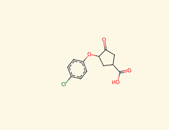 O=C(O)C1CC(=O)C(Oc2ccc(Cl)cc2)C1